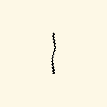 CCCCCCCCCCC[CH]CCCCCCCCCCCCCCC